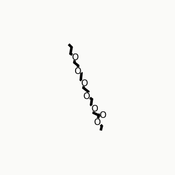 CCCOCCOCCOCCOCCOCC(=O)OCC